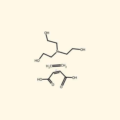 C=C.O=C(O)/C=C\C(=O)O.OCCN(CCO)CCO